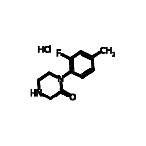 Cc1ccc(N2CCNCC2=O)c(F)c1.Cl